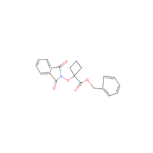 O=C1c2ccccc2C(=O)N1OC1(C(=O)OCc2ccccc2)CCC1